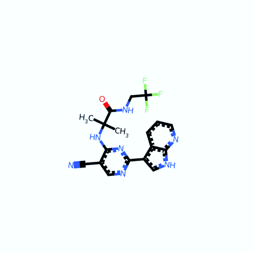 CC(C)(Nc1nc(-c2c[nH]c3ncccc23)ncc1C#N)C(=O)NCC(F)(F)F